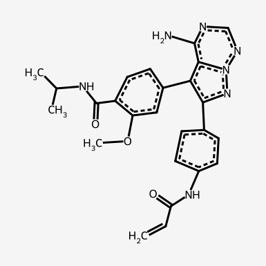 C=CC(=O)Nc1ccc(-c2nn3ncnc(N)c3c2-c2ccc(C(=O)NC(C)C)c(OC)c2)cc1